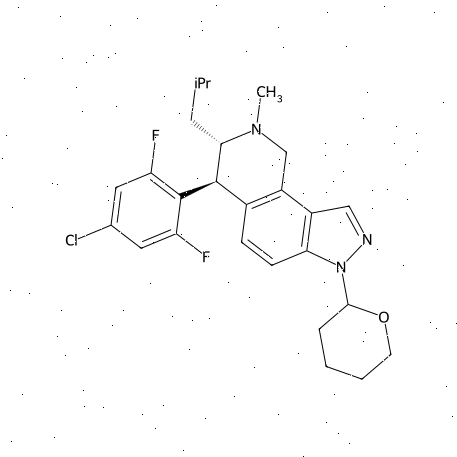 CC(C)C[C@H]1[C@H](c2c(F)cc(Cl)cc2F)c2ccc3c(cnn3C3CCCCO3)c2CN1C